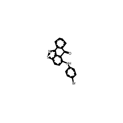 O=C1c2ccccc2-c2nsc3ccc(Nc4ccc(Br)cc4)c1c23